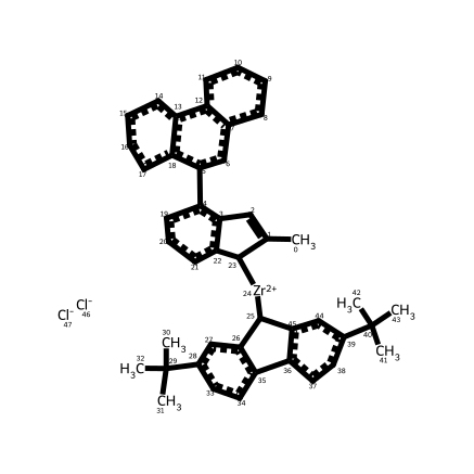 CC1=Cc2c(-c3cc4ccccc4c4ccccc34)cccc2[CH]1[Zr+2][CH]1c2cc(C(C)(C)C)ccc2-c2ccc(C(C)(C)C)cc21.[Cl-].[Cl-]